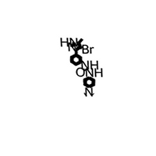 Cc1[nH]nc(-c2cccc(NC(=O)Nc3ccc(N(C)C)cc3)c2)c1Br